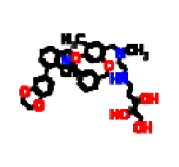 Cc1cc(CN(C)CCNCC[C@H](O)[C@H](O)CO)c(OCc2cccc(C#N)c2)cc1OCc1cccc(-c2ccc3c(c2)OCCO3)c1C